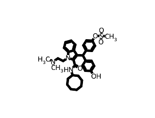 CN(C)CCn1c(C(=O)NC2CCCCCCC2)c(C(c2ccc(O)cc2)c2ccc(OS(C)(=O)=O)cc2)c2ccccc21